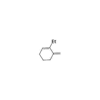 C=C1CCCC=C1CC